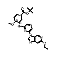 CCOc1cc2ncn(-c3cncc(N[C@H]4CN(C(=O)OC(C)(C)C)CC[C@@H]4OC)n3)c2cn1